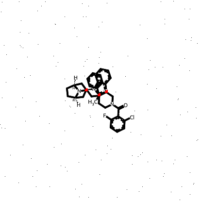 Cc1nc2ccccc2n1[C@H]1C[C@H]2CC[C@@H](C1)N2CCC1(c2ccccc2)CCN(C(=O)c2c(F)cccc2Cl)CC1